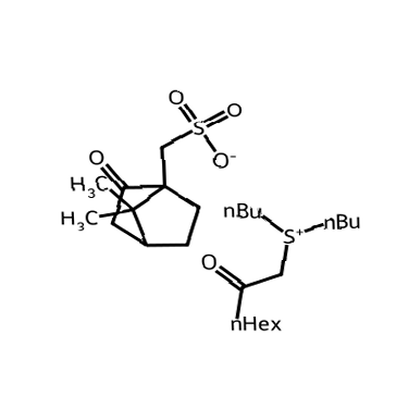 CC1(C)C2CCC1(CS(=O)(=O)[O-])C(=O)C2.CCCCCCC(=O)C[S+](CCCC)CCCC